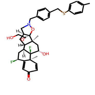 Cc1ccc(SCc2ccc(CN3C[C@@H]4C[C@H]5[C@@H]6C[C@H](F)C7=CC(=O)C=C[C@]7(C)[C@@]6(F)[C@@H](O)C[C@]5(C)[C@]4(C(=O)CO)O3)cc2)cc1